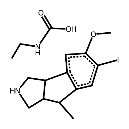 CCNC(=O)O.COc1cc2c(cc1I)C(C)C1CNCC21